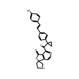 N#Cc1ccc(/C=C/c2ccc(C3(C(=O)c4nccc5c4C(=O)OC54CCNC4)CC3)cc2)cc1